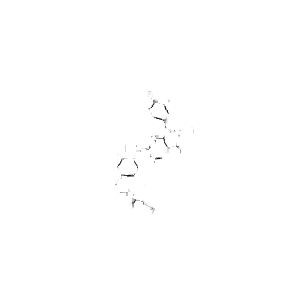 CC(C)n1c(=O)c2cnc(Nc3ccc4c(c3)CN(C(=O)OC(C)(C)C)CC4)nc2n1-c1ccc(F)cc1